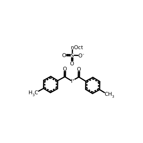 CCCCCCCCS(=O)(=O)[O-].Cc1ccc(C(=O)[I+]C(=O)c2ccc(C)cc2)cc1